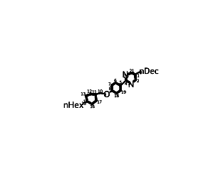 CCCCCCCCCCc1cnc(-c2ccc(OCc3ccc(CCCCCC)cc3)cc2)nc1